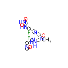 CN(C(=O)[C@H]1CC[C@H](N2CCC(c3ccc(NC4CCC(=O)NC4=O)cc3F)CC2)CC1)[C@H]1CC[C@H](Nc2ncc(F)c(-c3cccc(-n4ccccc4=O)c3)n2)CC1